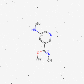 CCCCNc1cncc(/C(=N/C#N)OCCC)c1